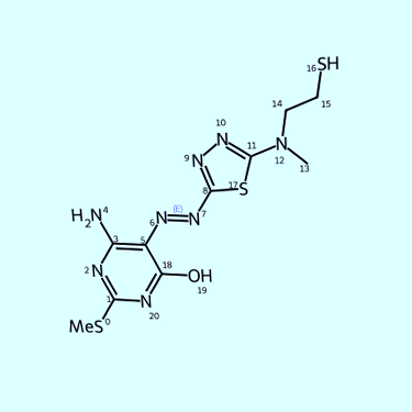 CSc1nc(N)c(/N=N/c2nnc(N(C)CCS)s2)c(O)n1